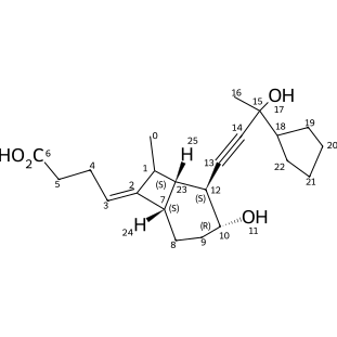 CC1C(=CCCC(=O)O)[C@H]2CC[C@@H](O)[C@H](C#CC(C)(O)C3CCCC3)[C@@H]12